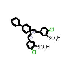 O=S(=O)(O)c1cc(/C=C/C2(/C=C/c3ccc(Cl)c(S(=O)(=O)O)c3)C=CC(c3ccccc3)C=C2)ccc1Cl